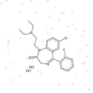 CCN(CC)CCN1C(=O)CN=C(c2ccccc2F)c2cc(Cl)ccc21.Cl.Cl